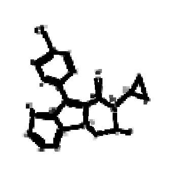 C[C@H]1Cn2c(c(-c3ccc(Cl)cc3)c3ncccc32)C(=O)N1C1CC1